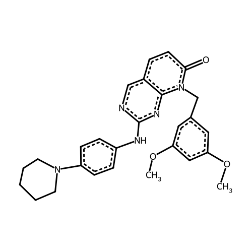 COc1cc(Cn2c(=O)ccc3cnc(Nc4ccc(N5CCCCC5)cc4)nc32)cc(OC)c1